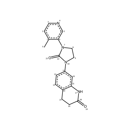 Cc1ccncc1N1CCN(c2ccc3c(c2)NC(=O)CC3)C1=O